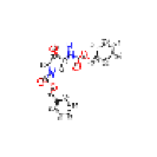 O=C(NC1CN(C(=O)OCc2ccccc2)CC1=O)OCc1ccccc1